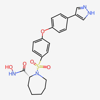 O=C(NO)[C@H]1CCCCCN1S(=O)(=O)c1ccc(Oc2ccc(-c3cn[nH]c3)cc2)cc1